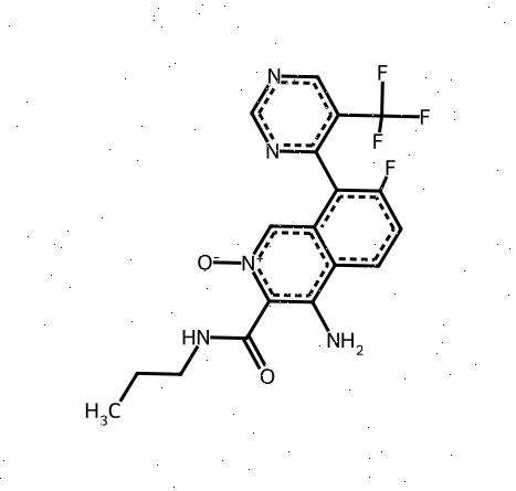 CCCNC(=O)c1c(N)c2ccc(F)c(-c3ncncc3C(F)(F)F)c2c[n+]1[O-]